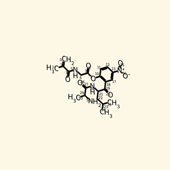 C=C(C)C(=O)NCC(=O)Oc1ccc([N+](=O)[O-])cc1C(=O)C(CC(C)C)NC(=O)C(C)N